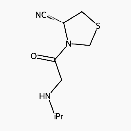 CC(C)NCC(=O)N1CSC[C@H]1C#N